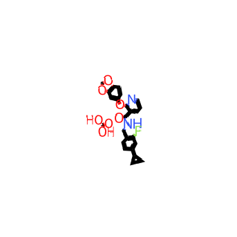 O=C(NCc1ccc(C2CC2)cc1F)c1cccnc1Oc1ccc2c(c1)OCO2.O=C(O)O